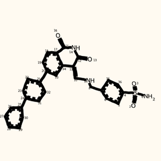 NS(=O)(=O)c1ccc(CN/C=C2\C(=O)NC(=O)c3ccc(-c4ccc(-c5ccccc5)cc4)cc32)cc1